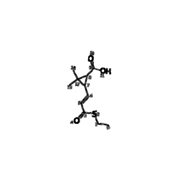 CCSC(=O)/C=C/C1C(C(=O)O)C1(C)C